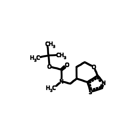 CN(CC1CCOc2ncsc21)C(=O)OC(C)(C)C